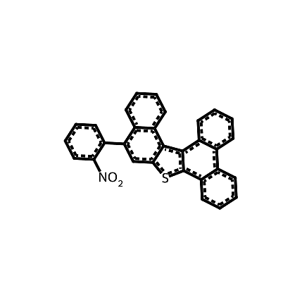 O=[N+]([O-])c1ccccc1-c1cc2sc3c4ccccc4c4ccccc4c3c2c2ccccc12